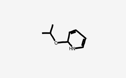 CC(C)OC1C=C[C]=CN1